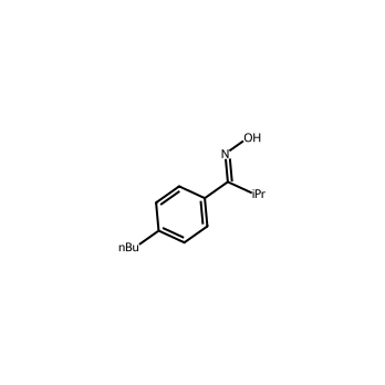 CCCCc1ccc(C(=NO)C(C)C)cc1